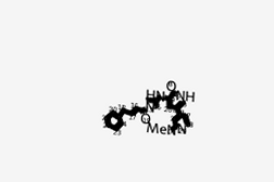 CNc1cc(-c2c[nH]c(=O)c(NC3CN(C(=O)C=CCc4ccccc4)C3)c2)ccn1